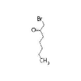 CCCCCC(=O)CBr